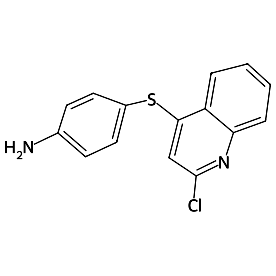 Nc1ccc(Sc2cc(Cl)nc3ccccc23)cc1